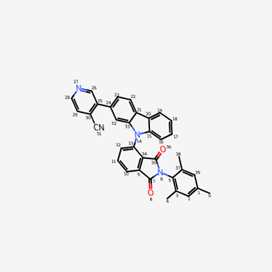 Cc1cc(C)c(N2C(=O)c3cccc(-n4c5ccccc5c5ccc(-c6cnccc6C#N)cc54)c3C2=O)c(C)c1